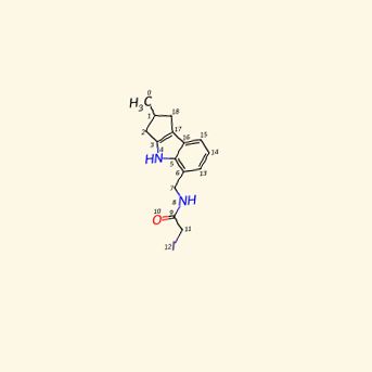 CC1Cc2[nH]c3c(CNC(=O)CI)cccc3c2C1